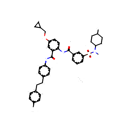 CCN(C1CCC(C(=O)O)CC1)S(=O)(=O)c1cccc(C(=O)Nc2ccc(OCC3CC3)cc2C(=O)Nc2ccc(CCc3ccc(C(=O)O)cc3)cc2)c1.[NaH].[NaH]